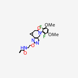 C=CC(=O)NCCOc1ncc2c(n1)C1CC1CC(=O)N(c1c(F)c(OC)cc(OC)c1F)C2